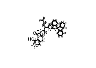 C=CC1=C(C(=O)O)N2C(=O)C(NC(=O)C(=NOC(F)F)c3csc(NC(c4ccccc4)(c4ccccc4)c4ccccc4)n3)[C@@H]2SC1